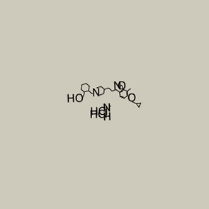 CNC.Cc1c(OCC2CC2)ccc2c(CCC3CCN(CC4CCCCC4CO)CC3)noc12.Cl.Cl